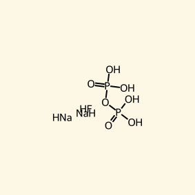 F.O=P(O)(O)OP(=O)(O)O.[NaH].[NaH]